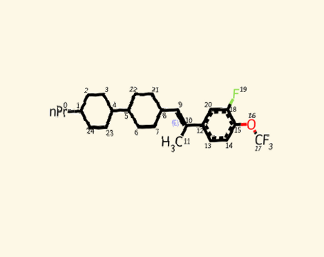 CCCC1CCC(C2CCC(/C=C(\C)c3ccc(OC(F)(F)F)c(F)c3)CC2)CC1